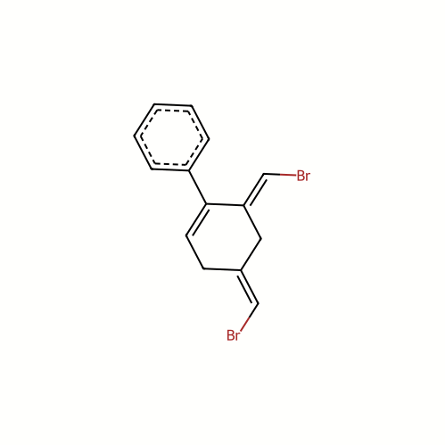 BrC=C1CC=C(c2ccccc2)C(=CBr)C1